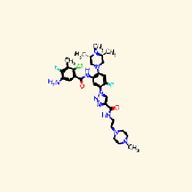 Cc1c(F)c(N)cc(C(=O)Nc2cc(-n3cc(C(=O)NCCN4CCN(C)CC4)nn3)c(F)cc2N2C[C@@H](C)N(C)[C@@H](C)C2)c1Cl